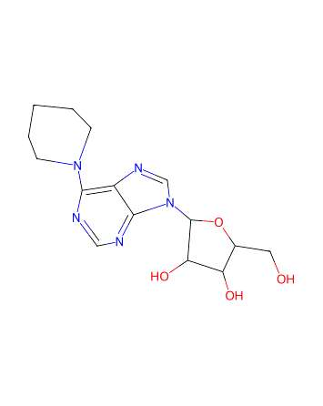 OCC1OC(n2cnc3c(N4CCCCC4)ncnc32)C(O)C1O